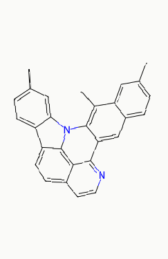 Cc1ccc2cc3c4nccc5ccc6c7ccc(C)cc7n(c3c(C)c2c1)c6c54